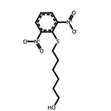 O=[N+]([O-])c1cccc([N+](=O)[O-])c1SCCCCCCO